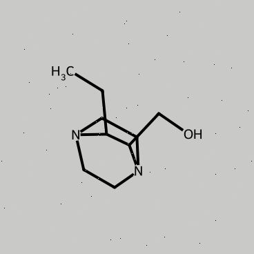 CCC1C(CO)N2CCN1CC2